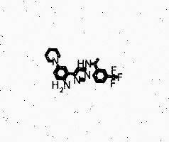 CC(Nc1cc(-c2cc(N3CCCCC3)ccc2N)ncn1)c1cccc(C(F)(F)F)c1